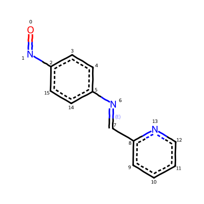 O=Nc1ccc(/N=C/c2ccccn2)cc1